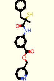 CC(S)(Cc1ccccc1)C(=O)Nc1cccc(C(=O)OCc2cccnc2)c1